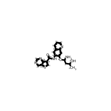 CC(O)CC(N)Oc1cc2ncccc2cc1NC(=O)c1csc2cncnc12